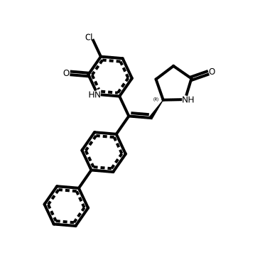 O=C1CC[C@H](C=C(c2ccc(-c3ccccc3)cc2)c2ccc(Cl)c(=O)[nH]2)N1